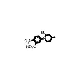 CC[C@H]1CC(C)CCN1c1ccc([N+](=O)[O-])c(C(=O)O)c1